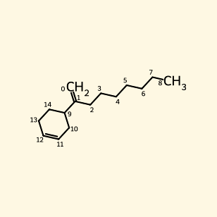 C=C(CCCCCCC)C1CC=CCC1